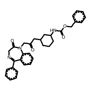 O=C(CC1CCCC(NC(=O)OCc2ccccc2)C1)CN1C(=O)CN=C(c2ccccc2)c2ccccc21